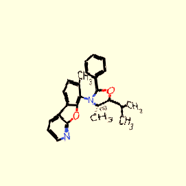 Cc1ccc2c(oc3ncccc32)c1N1C(c2ccccc2)OC(C(C)C)[C@@H]1C